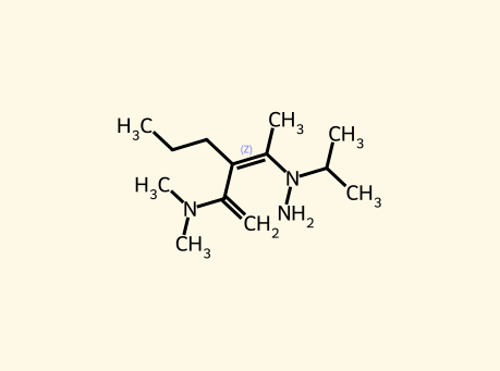 C=C(/C(CCC)=C(/C)N(N)C(C)C)N(C)C